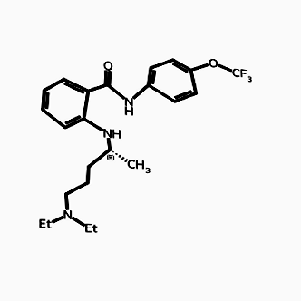 CCN(CC)CCC[C@@H](C)Nc1ccccc1C(=O)Nc1ccc(OC(F)(F)F)cc1